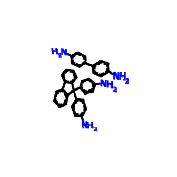 Nc1ccc(-c2ccc(N)cc2)cc1.Nc1ccc(C2(c3ccc(N)cc3)c3ccccc3-c3ccccc32)cc1